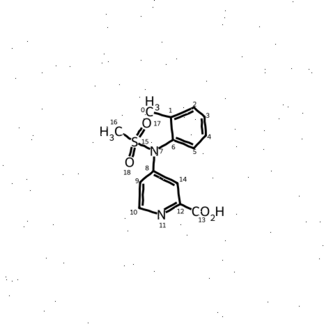 Cc1ccccc1N(c1ccnc(C(=O)O)c1)S(C)(=O)=O